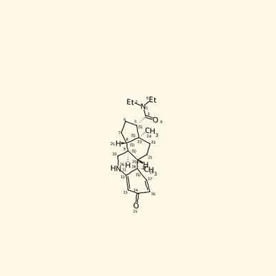 CCN(CC)C(=O)[C@H]1CC[C@H]2[C@@H]3CNC4=CC(=O)C=C[C@]4(C)[C@H]3CC[C@]12C